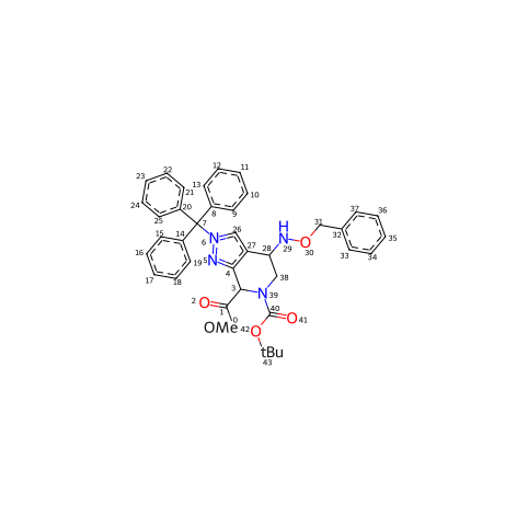 COC(=O)C1c2nn(C(c3ccccc3)(c3ccccc3)c3ccccc3)cc2C(NOCc2ccccc2)CN1C(=O)OC(C)(C)C